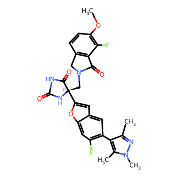 COc1ccc2c(c1F)C(=O)N(C[C@@]1(c3cc4cc(-c5c(C)nn(C)c5C)c(F)cc4o3)NC(=O)NC1=O)C2